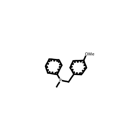 COc1ccc(CP(C)c2ccccc2)cc1